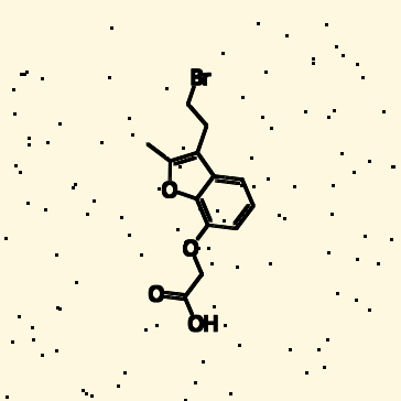 Cc1oc2c(OCC(=O)O)cccc2c1CCBr